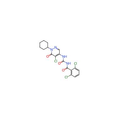 O=C(NC(=O)c1c(Cl)cccc1Cl)Nc1cnn(C2CCCCC2)c(=O)c1Cl